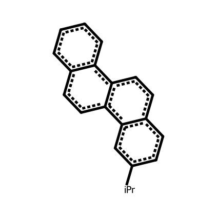 CC(C)c1ccc2ccc3c4ccccc4ccc3c2c1